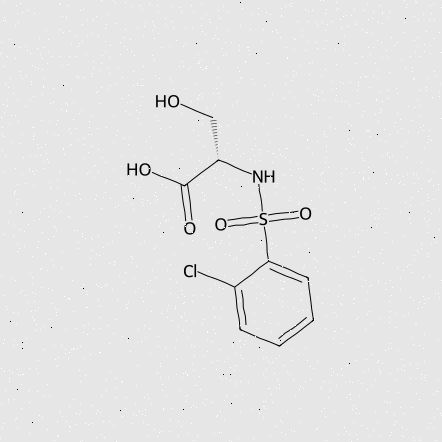 O=C(O)[C@H](CO)NS(=O)(=O)c1ccccc1Cl